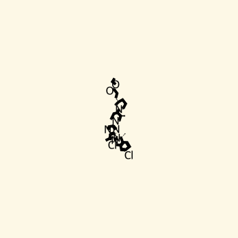 CCOC(=O)CC[C@@H]1CCCN(C2CCN(c3cnc4c(C)nn([C@H](C)c5ccc(Cl)cc5Cl)c4n3)C[C@@H]2C)C1